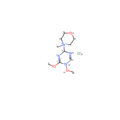 COC1=NC([N+]2(C)CCOCC2)N=CN1OC.[Cl-]